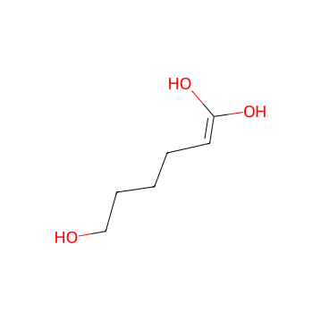 OCCCCC=C(O)O